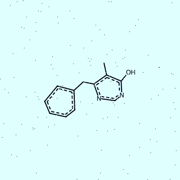 Cc1c(O)ncnc1Cc1ccccc1